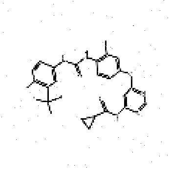 Cc1cc(Oc2cc(NC(=O)C3CC3)ncn2)ccc1NC(=O)Nc1ccc(F)c(C(C)(F)F)c1